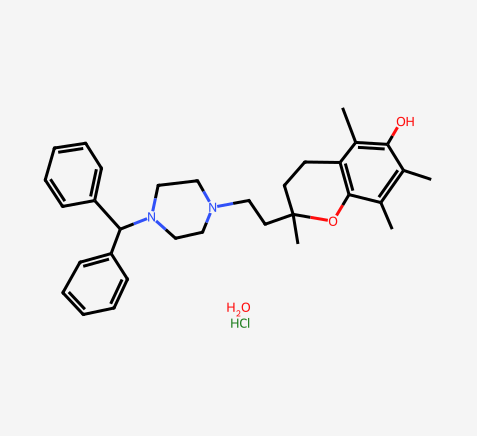 Cc1c(C)c2c(c(C)c1O)CCC(C)(CCN1CCN(C(c3ccccc3)c3ccccc3)CC1)O2.Cl.O